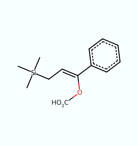 C[Si](C)(C)CC=C(OC(=O)O)c1ccccc1